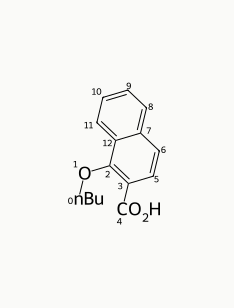 CCCCOc1c(C(=O)O)ccc2ccccc12